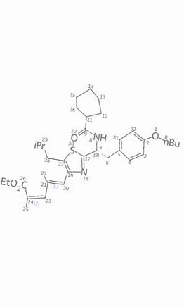 CCCCOc1ccc(C[C@@H](NC(=O)C2CCCCC2)c2nc(/C=C(C)/C=C(/C)C(=O)OCC)c(CC(C)C)s2)cc1